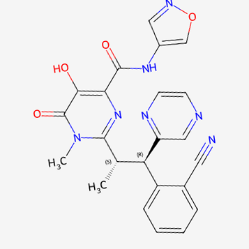 C[C@H](c1nc(C(=O)Nc2cnoc2)c(O)c(=O)n1C)[C@@H](c1cnccn1)c1ccccc1C#N